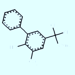 CCCCCC(C)(C)c1cc(C(=O)O)c(O)c(-c2ccccc2)c1